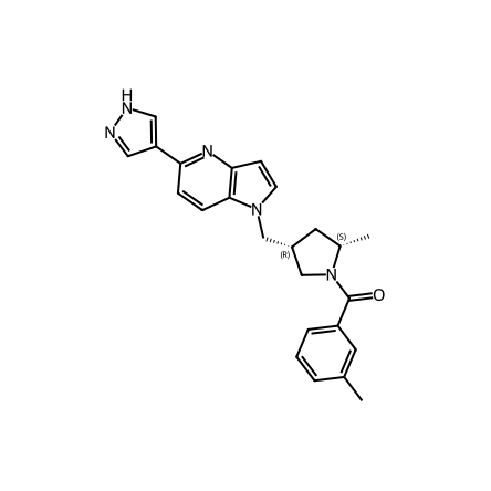 Cc1cccc(C(=O)N2C[C@H](Cn3ccc4nc(-c5cn[nH]c5)ccc43)C[C@@H]2C)c1